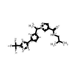 CC(C)CNC(=O)c1cnn(C(C)c2ccc(-c3noc(C(F)(F)F)n3)s2)c1